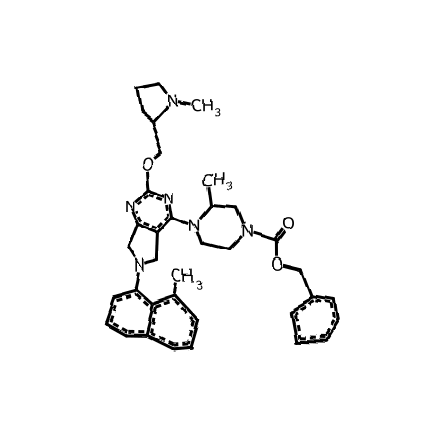 Cc1cccc2cccc(N3Cc4nc(OCC5CCCN5C)nc(N5CCN(C(=O)OCc6ccccc6)CC5C)c4C3)c12